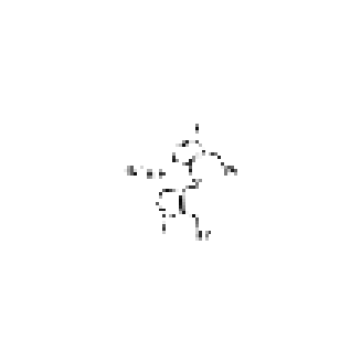 Br.Br.CC1=CC[C]([Zr][C]2=C(CC(C)C)C(C)=CC2)=C1CC(C)C